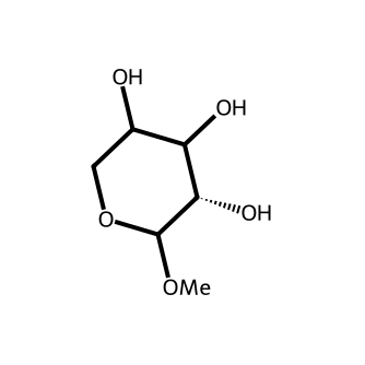 COC1OCC(O)C(O)[C@@H]1O